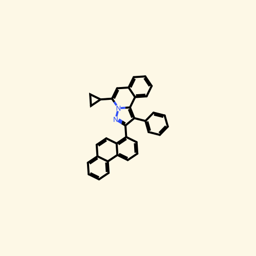 c1ccc(-c2c(-c3cccc4c3ccc3ccccc34)nn3c(C4CC4)cc4ccccc4c23)cc1